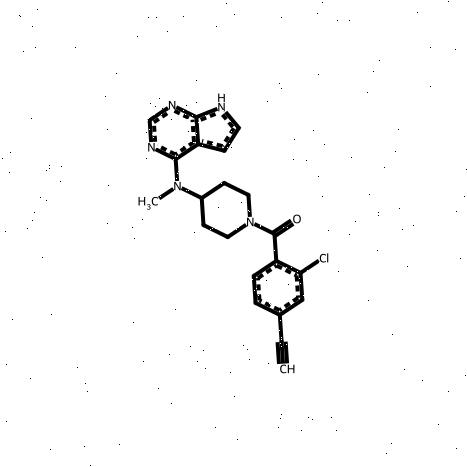 C#Cc1ccc(C(=O)N2CCC(N(C)c3ncnc4[nH]ccc34)CC2)c(Cl)c1